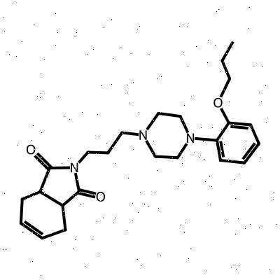 CCCOc1ccccc1N1CCN(CCCN2C(=O)C3CC=CCC3C2=O)CC1